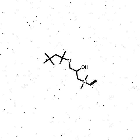 C=C[N+](C)(C)CC(O)COC(C)(C)CC(C)(C)C